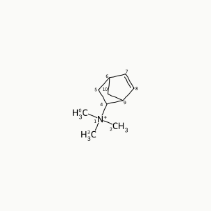 C[N+](C)(C)C1CC2C=CC1C2